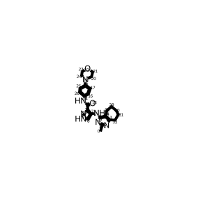 Cc1nc2c(c(Nc3c[nH]nc3C(=O)Nc3ccc(N4CCOCC4)cc3)n1)CCCCC2